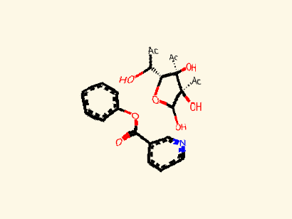 CC(=O)C(O)[C@H]1OC(O)[C@@](O)(C(C)=O)[C@@]1(O)C(C)=O.O=C(Oc1ccccc1)c1cccnc1